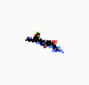 C[C@H](N)CCCc1cc(OC(F)(F)F)c(F)c(-c2cc3cn(-c4ccc([C@@H](O)[C@@H]5C[C@@H](NC(=N)N)CN5)cc4)c(=O)nc3[nH]2)c1